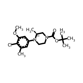 COc1cc(N2CCN(C(=O)OC(C)(C)C)C[C@@H]2C)cc(C)c1Cl